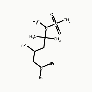 CCCC(CN(CC)C(C)C)CC(C)(C)N(C)S(C)(=O)=O